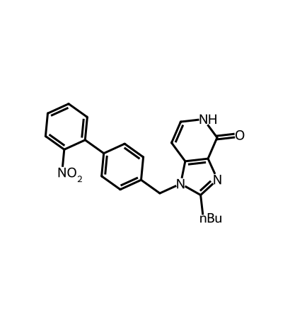 CCCCc1nc2c(=O)[nH]ccc2n1Cc1ccc(-c2ccccc2[N+](=O)[O-])cc1